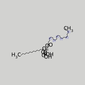 CC/C=C\C/C=C\C/C=C\C/C=C\C/C=C\C/C=C\CCC(=O)OC[C@H](COP(=O)(O)O)OC(=O)CCCCCCCCCCCCC